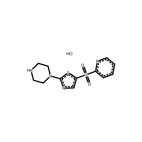 Cl.O=S(=O)(c1ccccn1)c1cnc(N2CCNCC2)s1